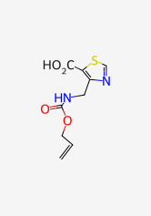 C=CCOC(=O)NCc1ncsc1C(=O)O